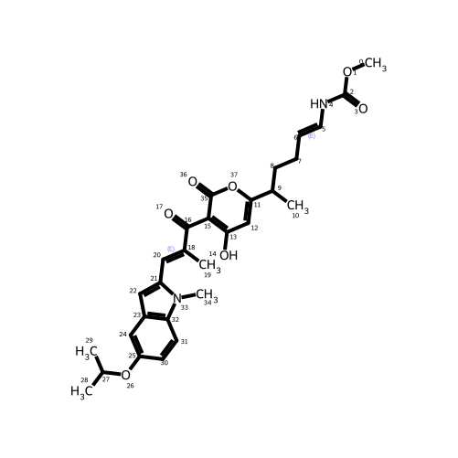 COC(=O)N/C=C/CCC(C)c1cc(O)c(C(=O)/C(C)=C/c2cc3cc(OC(C)C)ccc3n2C)c(=O)o1